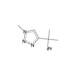 CC(C)C(C)(C)c1cn(C)nn1